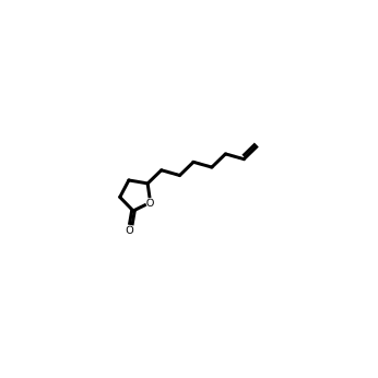 C=CCCCCCC1CCC(=O)O1